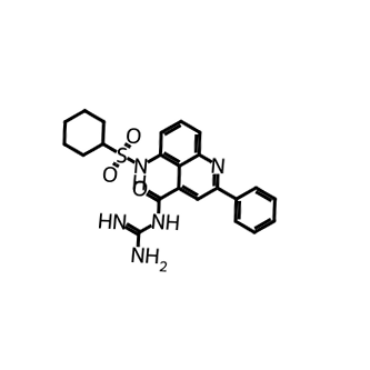 N=C(N)NC(=O)c1cc(-c2ccccc2)nc2cccc(NS(=O)(=O)C3CCCCC3)c12